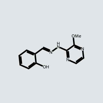 COc1nccnc1NN=Cc1ccccc1O